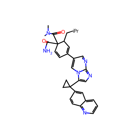 CC(C)CC1C=C(c2cnc3ncc(C4(c5ccc6ncccc6c5)CC4)n3c2)C=CC1(C(N)=O)C(=O)N(C)C